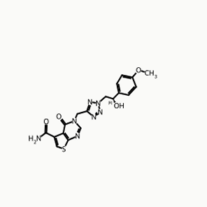 COc1ccc([C@@H](O)Cn2nnc(Cn3cnc4scc(C(N)=O)c4c3=O)n2)cc1